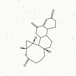 C=C1CC2C(CC[C@]3(CC)CCCC(=O)O[C@@H]4C[C@@H]4C23)C2CCC(=O)C=C12